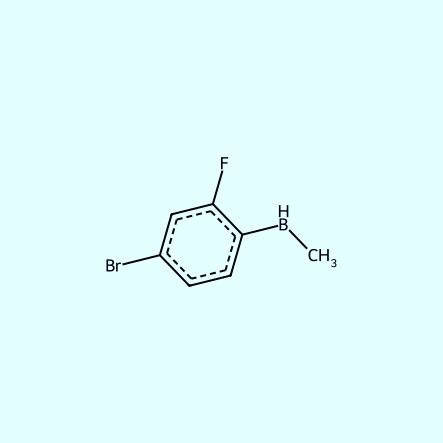 CBc1ccc(Br)cc1F